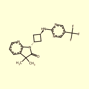 CC1(C)C(=O)N([C@H]2C[C@H](Nc3ncc(C(F)(F)F)cn3)C2)c2ncccc21